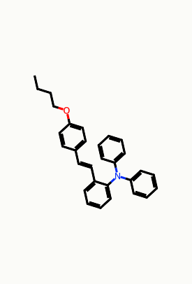 CCCCOc1ccc(C=Cc2ccccc2N(c2ccccc2)c2ccccc2)cc1